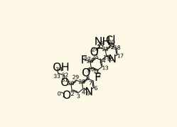 COc1cc2nccc(Oc3c(F)cc(-c4nccc(Cl)c4C(N)=O)cc3F)c2cc1OCCO